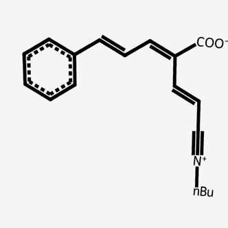 CCCC[N+]#CC=CC(=CC=Cc1ccccc1)C(=O)[O-]